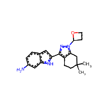 CC1(C)CCc2c(-c3cc4ccc(N)cc4[nH]3)nn(C3CCO3)c2C1